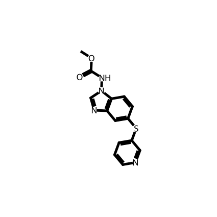 COC(=O)Nn1cnc2cc(Sc3cccnc3)ccc21